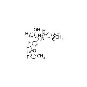 Cc1ccc(F)c(C2(C(=O)Nc3ccc(-c4cnc(Nc5ccc(S(C)(=N)=O)cc5)nc4NC(C)CO)cc3F)CC2)c1